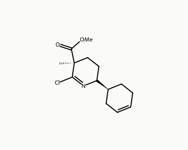 COC(=O)[C@@]1(C)CCC([C@@H]2CC=CCC2)N=C1Cl